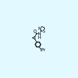 CC(C)c1ccc(C2CC2C(=O)NC2=NCCS2)cc1